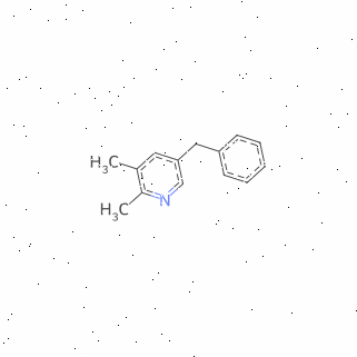 Cc1cc(Cc2ccccc2)cnc1C